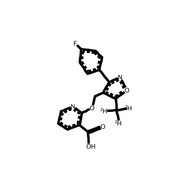 [2H]C([2H])([2H])c1onc(-c2ccc(F)cc2)c1COc1ncccc1C(=O)O